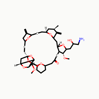 C=C1CC2CC[C@@]34C[C@H]5OC(C(O3)[C@@H]3CCCC(CC(=O)CC6[C@@H](OC)C(CC(O)CN)O[C@H]6CC6O[C@@H](CCC1O2)C[C@@H](C)C6=C)O3)[C@@H](OC)C5O4